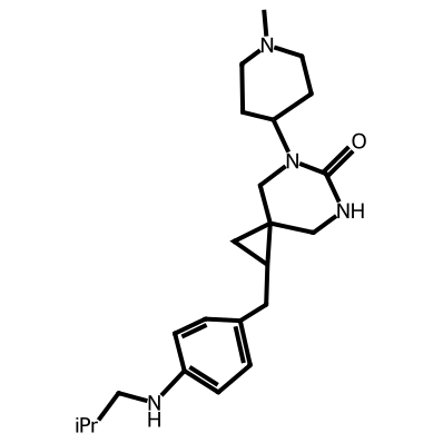 CC(C)CNc1ccc(CC2CC23CNC(=O)N(C2CCN(C)CC2)C3)cc1